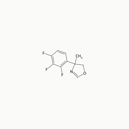 CC1(c2ccc(F)c(F)c2F)CO[C]=N1